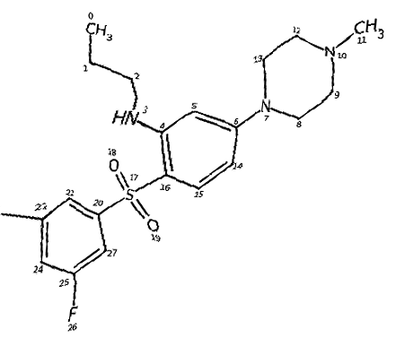 CCCNc1cc(N2CCN(C)CC2)ccc1S(=O)(=O)c1cc(F)cc(F)c1